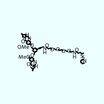 C=C1C[C@H]2C=Nc3cc(OCc4cc(C#CCNC(=O)CCOCCOCCOCCOCCNC(=O)CCC(C)SSc5ccccn5)cc(COc5cc6c(cc5OC)C(=O)N5CC(=C)C[C@H]5C=N6)c4)c(OC)cc3C(=O)N2C1